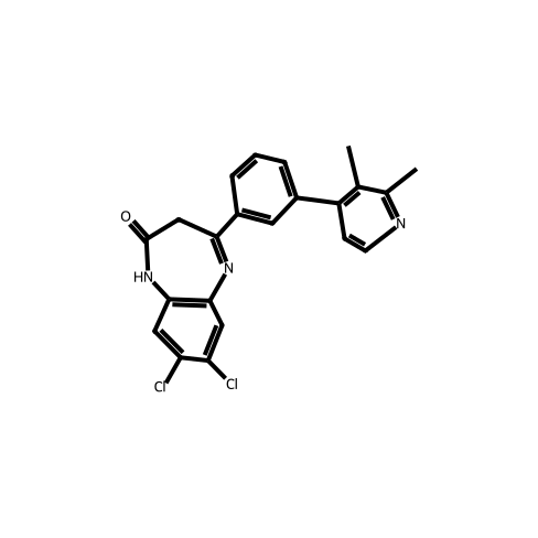 Cc1nccc(-c2cccc(C3=Nc4cc(Cl)c(Cl)cc4NC(=O)C3)c2)c1C